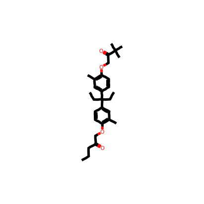 CCCC(=O)COc1ccc(C(CC)(CC)c2ccc(OCC(=O)C(C)(C)C)c(C)c2)cc1C